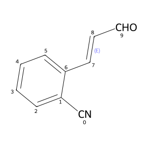 N#Cc1ccccc1/C=C/C=O